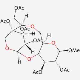 CO[C@@H]1O[C@@H]2CO[C@H](COC(C)=O)[C@]3(OC(C)=O)CO[C@H](OC2[C@H](OC(C)=O)[C@H]1OC(C)=O)[C@@H](OC(C)=O)[C@@H]3OC(C)=O